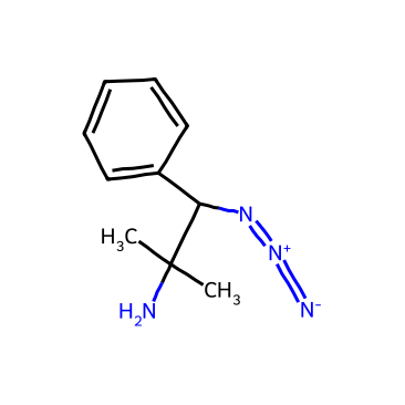 CC(C)(N)C(N=[N+]=[N-])c1ccccc1